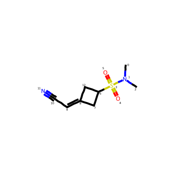 CN(C)S(=O)(=O)C1CC(=CC#N)C1